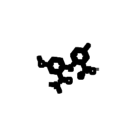 COc1ccc(Sc2ccc(C)cc2[N+](=O)[O-])c(C(=O)N(C)C)c1